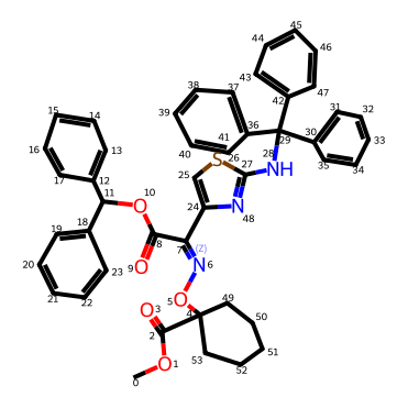 COC(=O)C1(O/N=C(\C(=O)OC(c2ccccc2)c2ccccc2)c2csc(NC(c3ccccc3)(c3ccccc3)c3ccccc3)n2)CCCCC1